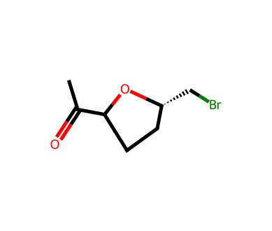 CC(=O)C1CC[C@@H](CBr)O1